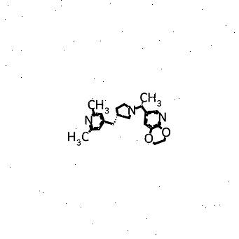 Cc1cc(C[C@@H]2CCN([C@H](C)c3cnc4c(c3)OCCO4)C2)cc(C)n1